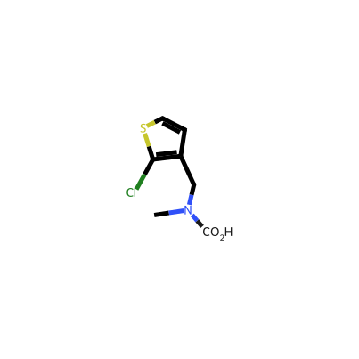 CN(Cc1ccsc1Cl)C(=O)O